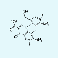 Cc1c(N)c(F)cc2c(=O)c(C(=O)O)cn(-c3cc(N)c(F)cc3CO)c12